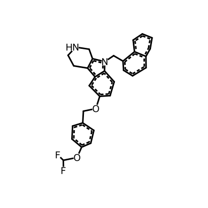 FC(F)Oc1ccc(COc2ccc3c(c2)c2c(n3Cc3cccc4ccccc34)CNCC2)cc1